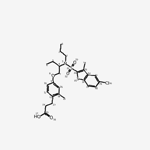 CCCN(C(CC)COc1ccc(CCC(=O)O)c(C)c1)S(=O)(=O)c1sc2ccc(Cl)cc2c1C